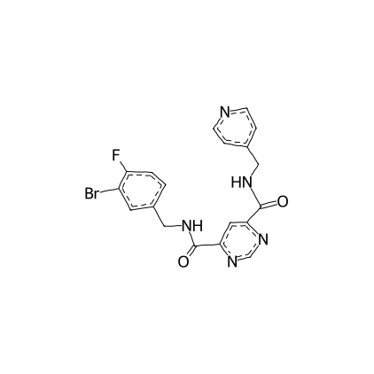 O=C(NCc1ccncc1)c1cc(C(=O)NCc2ccc(F)c(Br)c2)ncn1